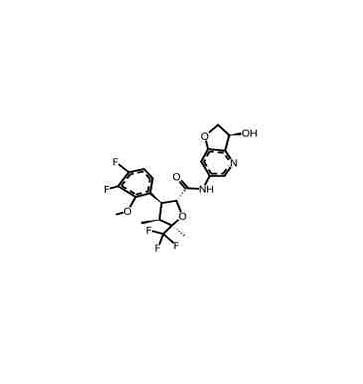 COc1c([C@H]2[C@H](C(=O)Nc3cnc4c(c3)OC[C@H]4O)O[C@@](C)(C(F)(F)F)[C@H]2C)ccc(F)c1F